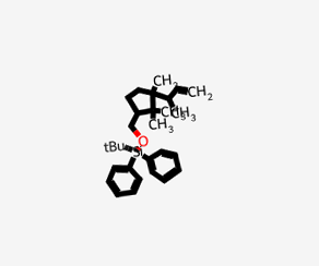 C=CC(C)C1(C)CCC(CO[Si](c2ccccc2)(c2ccccc2)C(C)(C)C)C1(C)C